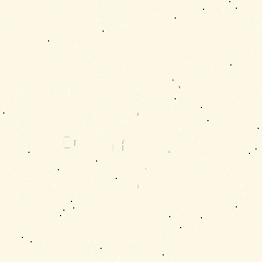 C=N/C=C(\C/C=C/CC)CC(C)(CCC)OCC